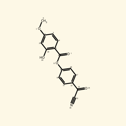 COc1ccc(C(=O)Oc2ccc(C(=O)C#N)cc2)c(O)c1